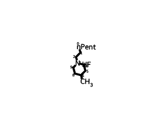 CCCCCCCN1CCC(C)CC1.F